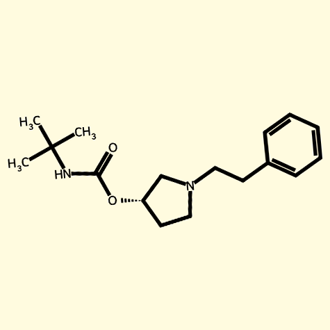 CC(C)(C)NC(=O)O[C@H]1CCN(CCc2ccccc2)C1